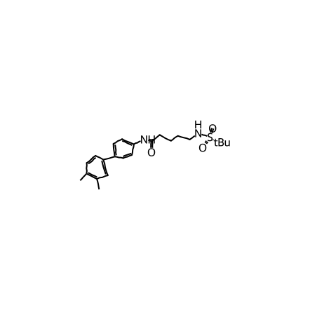 Cc1ccc(-c2ccc(NC(=O)CCCCNS(=O)(=O)C(C)(C)C)cc2)cc1C